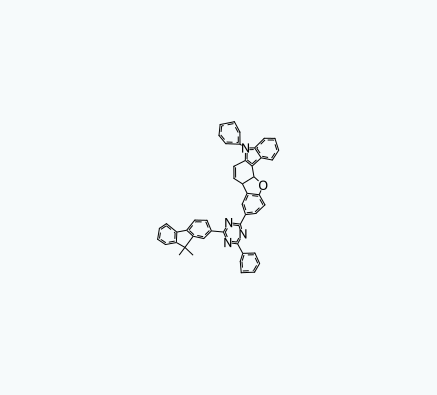 CC1(C)c2ccccc2-c2ccc(-c3nc(-c4ccccc4)nc(-c4ccc5c(c4)C4C=Cc6c(c7ccccc7n6-c6ccccc6)C4O5)n3)cc21